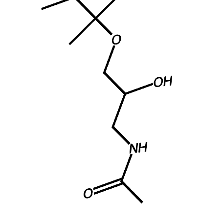 CCC(C)(C)OCC(O)CNC(C)=O